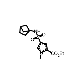 CCOC(=O)c1cc(S(=O)(=O)NC23CCC(C2)C3)cn1C